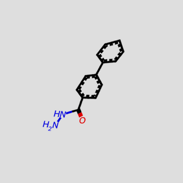 NNC(=O)c1ccc(-c2ccccc2)cc1